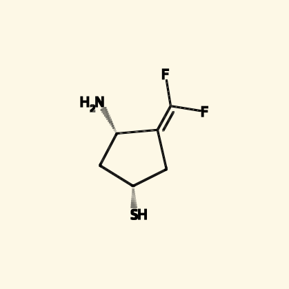 N[C@H]1C[C@@H](S)CC1=C(F)F